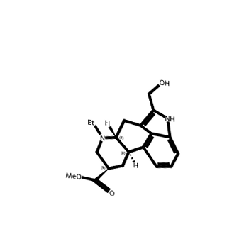 CCN1C[C@H](C(=O)OC)C[C@@H]2c3cccc4[nH]c(CO)c(c34)C[C@H]21